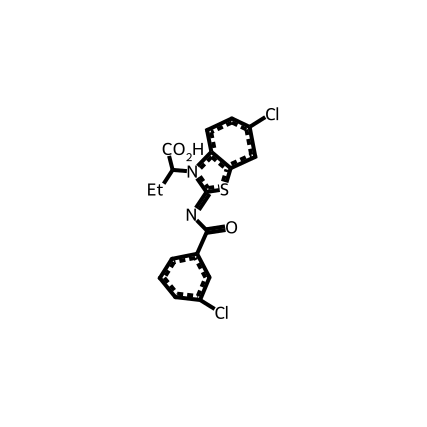 CCC(C(=O)O)n1/c(=N/C(=O)c2cccc(Cl)c2)sc2cc(Cl)ccc21